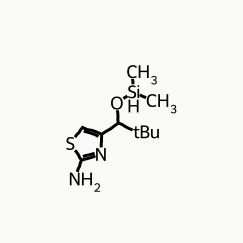 C[SiH](C)OC(c1csc(N)n1)C(C)(C)C